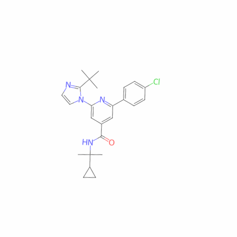 CC(C)(C)c1nccn1-c1cc(C(=O)NC(C)(C)C2CC2)cc(-c2ccc(Cl)cc2)n1